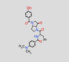 CC(C)CC(NC(=O)c1ccc(N(C)C)cc1)C(=O)N1CCC2C1C(=O)CN2C(=O)c1ccc(O)cc1